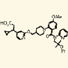 COc1ccc(C(=O)N(CC(C)(C)OC(C)C)c2ccccn2)c(N2CCC(COc3cc(C(CC(=O)O)C4CC4)ccn3)CC2)c1